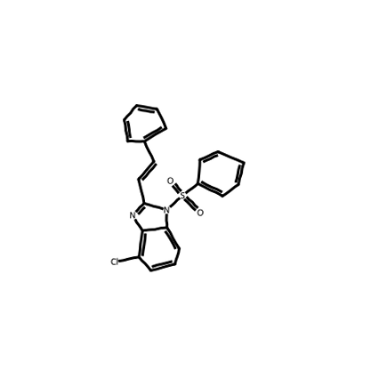 O=S(=O)(c1ccccc1)n1c(C=Cc2ccccc2)nc2c(Cl)cccc21